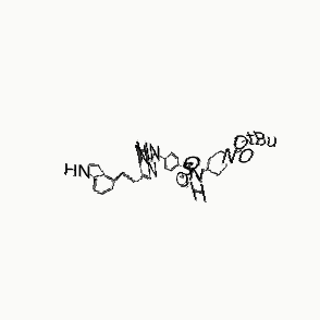 CC(C)(C)OC(=O)N1CCC(NS(=O)(=O)c2ccc(Nc3ncc(C=Cc4cccc5[nH]ccc45)cn3)cc2)CC1